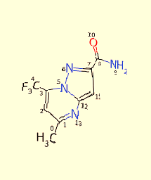 Cc1cc(C(F)(F)F)n2nc(C(N)=O)cc2n1